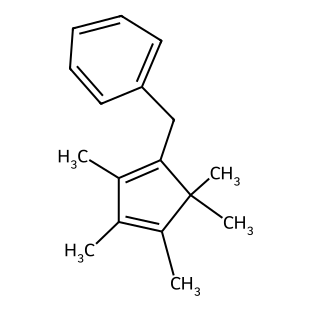 CC1=C(C)C(C)(C)C(Cc2ccccc2)=C1C